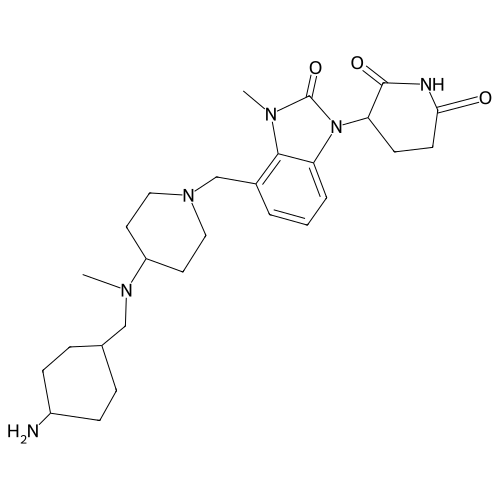 CN(CC1CCC(N)CC1)C1CCN(Cc2cccc3c2n(C)c(=O)n3C2CCC(=O)NC2=O)CC1